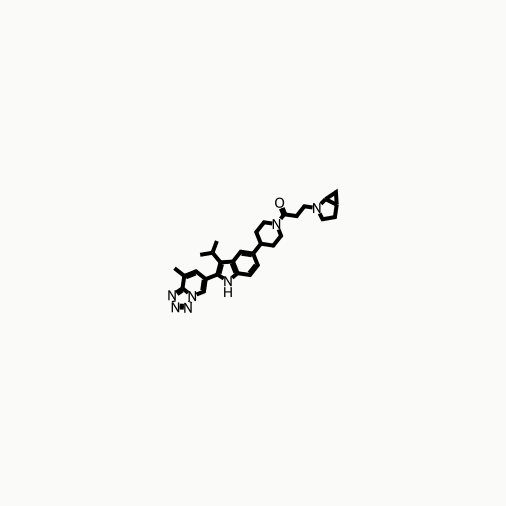 Cc1cc(-c2[nH]c3ccc(C4CCN(C(=O)CCN5CCC6CC65)CC4)cc3c2C(C)C)cn2nnnc12